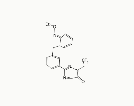 CCON=C1C=CC=CC1Cc1cccc(-c2ncc(=O)n(CC(F)(F)F)n2)c1